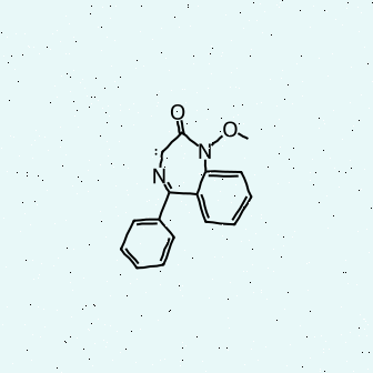 CON1C(=O)[C]N=C(c2ccccc2)c2ccccc21